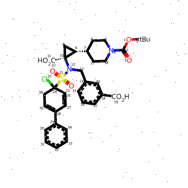 CC(C)(C)OC(=O)N1CCC([C@H]2C[C@]2(C(=O)O)N(Cc2cccc(C(=O)O)c2)S(=O)(=O)C2(Cl)C=CC(c3ccccc3)=CC2)CC1